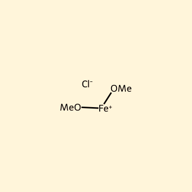 C[O][Fe+][O]C.[Cl-]